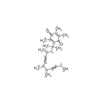 CC1=C(C)C(=O)C(C(C)(C)CC(C)C#CC(C)C(C)C#CCO)=C(C)C1=O